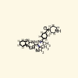 C/C(=N\C(C(=O)Nc1nc2ccccc2n1C)=C(/C)N)c1ccc(C(=O)N2CCCNCC2)cc1